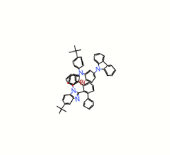 CC(C)(C)c1ccc(N(c2cccc(-n3c4ccccc4c4ccccc43)c2)c2cccc(-n3c(-c4c(-c5ccccc5)cccc4-c4ccccc4)nc4cc(C(C)(C)C)ccc43)c2Br)cc1